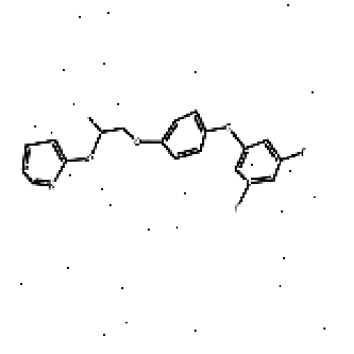 CC(COc1ccc(Oc2cc(F)cc(F)c2)cc1)Oc1ccccn1